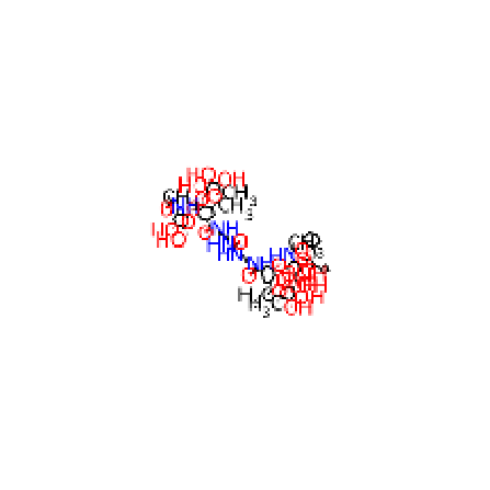 CC[C@H]1C[C@@H](C(=O)NCCNC(=O)NCCNC(=O)[C@@H]2C[C@H](CC)[C@@H](O[C@@H]3O[C@@H](C)[C@@H](O)[C@@H](O)[C@@H]3O)[C@H](O[C@@H]3O[C@H](CO)[C@H](O)C[C@H]3NC(C)=O)C2)C[C@@H](O[C@@H]2O[C@H](CO)[C@H](O)[C@H](O[C@@H](CC3CCCCC3)C(=O)C3CCC3)[C@H]2NC(C)=O)[C@@H]1O[C@@H]1O[C@@H](C)[C@@H](O)[C@@H](O)[C@@H]1O